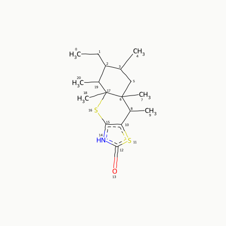 CCC1C(C)CC2(C)C(C)c3sc(=O)[nH]c3SC2(C)C1C